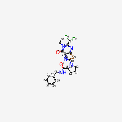 CCn1c(C(F)F)nc2sc(N3CCCC3C(=O)NCc3ccccc3)nc2c1=O